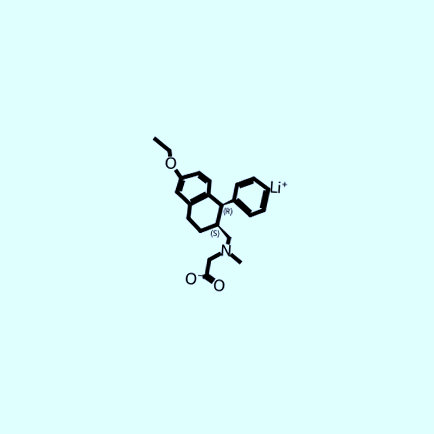 CCOc1ccc2c(c1)CC[C@H](CN(C)CC(=O)[O-])[C@@H]2c1ccccc1.[Li+]